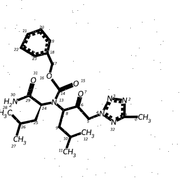 Cc1nnn(CC(=O)C(CC(C)C)N(C(=O)OCc2ccccc2)[C@@H](CC(C)C)C(N)=O)n1